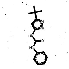 CC(C)(C)c1cc(NC(=O)Nc2ccccc2)[nH]n1